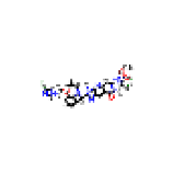 C[C@@H](Cn1cnc(F)c1)Oc1cccc2cc(-c3nc4cc5c(nc4n3C)CCN(C[C@@H](CF)NC(=O)OC(C)(C)C)C5=O)n(CC3CC3)c12